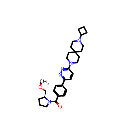 COC[C@@H]1CCCN1C(=O)c1ccc(-c2ccc(N3CCC4(CC3)CCN(C3CCC3)CC4)nn2)cc1